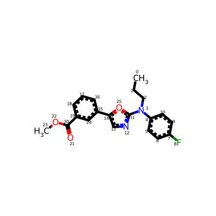 CCCN(c1ccc(F)cc1)c1ncc(-c2cccc(C(=O)OC)c2)o1